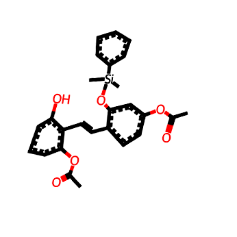 CC(=O)Oc1ccc(C=Cc2c(O)cccc2OC(C)=O)c(O[Si](C)(C)c2ccccc2)c1